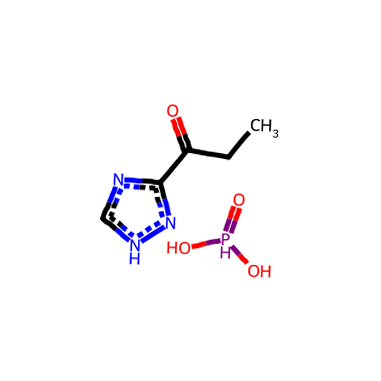 CCC(=O)c1nc[nH]n1.O=[PH](O)O